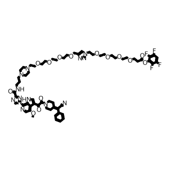 COc1cnc(-n2cnc(C(=O)NCCCN3CCN(CCOCCOCCOCCOCc4cn(CCOCCOCCOCCOCCC(=O)Oc5c(F)c(F)cc(F)c5F)nn4)CC3)n2)c2[nH]cc(C(=O)C(=O)N3CCC(=C(C#N)c4ccccc4)CC3)c12